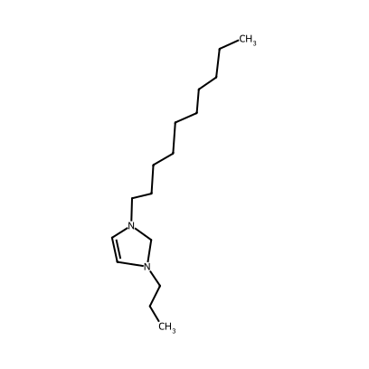 CCCCCCCCCCN1C=CN(CCC)C1